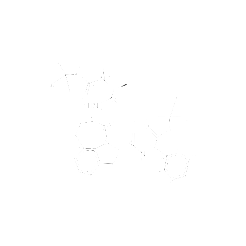 C[C@@H](C(=O)N[C@H]1CCc2cccc3c2N(C1=O)[C@H](C(=O)N[C@H](C(=O)OC(C)(C)C)c1ccccc1)C3)N(C)C(=O)OC(C)(C)C